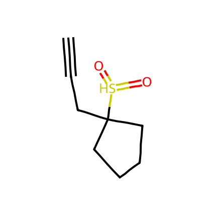 C#CCC1([SH](=O)=O)CCCC1